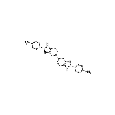 Nc1ccc(-c2nc3cc(-c4ccc5[nH]c(-c6ccc(N)nc6)nc5c4)ccc3[nH]2)cn1